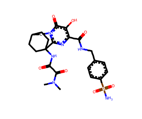 CN(C)C(=O)C(=O)NC12CCC(CC1)Cn1c2nc(C(=O)NCc2ccc(S(N)(=O)=O)cc2)c(O)c1=O